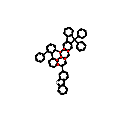 c1ccc(-c2ccccc2-c2c(-c3ccccc3)cccc2N(c2ccc(-c3ccc4c(c3)sc3ccccc34)cc2)c2ccc3c(c2)-c2ccccc2C3(c2ccccc2)c2ccccc2)cc1